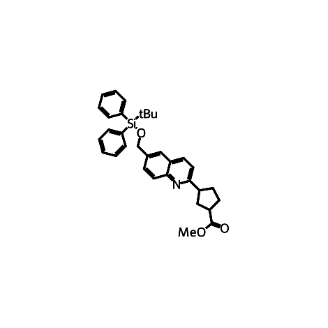 COC(=O)C1CCC(c2ccc3cc(CO[Si](c4ccccc4)(c4ccccc4)C(C)(C)C)ccc3n2)C1